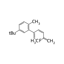 C=C(F)/C=C\C(=C/C)c1cc(C(C)(C)C)ccc1C